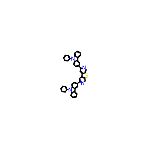 c1ccc(-n2c3ccccc3c3cc(-c4cc5c(cn4)sc4cnc(-c6ccc7c(c6)c6ccccc6n7-c6ccccc6)cc45)ccc32)cc1